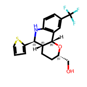 OC[C@@H]1CC[C@@H]2[C@@H](c3cccs3)Nc3ccc(C(F)(F)F)cc3[C@@H]2O1